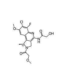 COCC(=O)N1Cc2c(NC(=O)CO)nc3c(F)c(Cl)c(OC)cc3c2[C@@H]1C